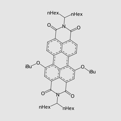 CCCCCCC(CCCCCC)N1C(=O)c2ccc3c4c(OC(C)CC)cc5c6c(cc(OC(C)CC)c(c7ccc(c2c37)C1=O)c64)C(=O)N(C(CCCCCC)CCCCCC)C5=O